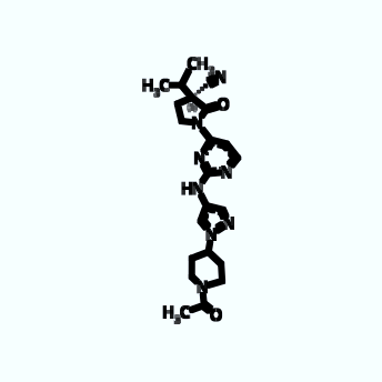 CC(=O)N1CCC(n2cc(Nc3nccc(N4CC[C@@](C#N)(C(C)C)C4=O)n3)cn2)CC1